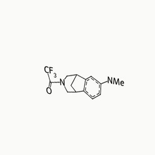 CNc1ccc2c(c1)C1CC2CN(C(=O)C(F)(F)F)C1